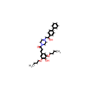 CCCCOc1cc(C=CC(=O)N2CCN(CC(O)c3ccc(-c4ccccc4)cc3)CC2)cc(OCCCC)c1O